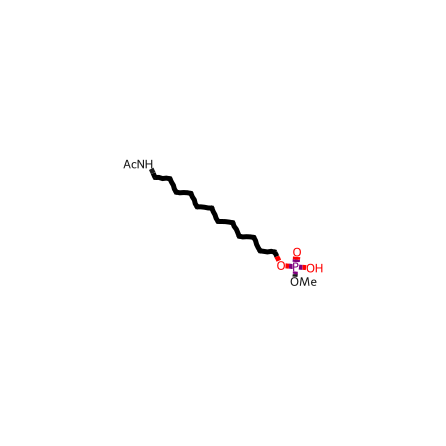 COP(=O)(O)OCCCCCCCCCCCCNC(C)=O